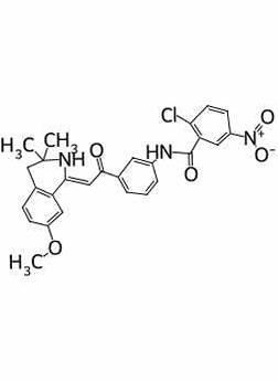 COc1ccc2c(c1)C(=CC(=O)c1cccc(NC(=O)c3cc([N+](=O)[O-])ccc3Cl)c1)NC(C)(C)C2